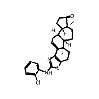 C[C@]12CCc3sc(Nc4ccccc4Cl)nc3C1=CC[C@@H]1[C@@H]2CC[C@]2(C)C(=O)CC[C@@H]12